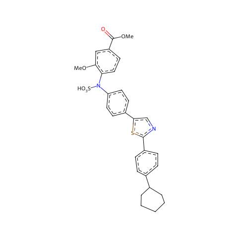 COC(=O)c1ccc(N(c2ccc(-c3cnc(-c4ccc(C5CCCCC5)cc4)s3)cc2)S(=O)(=O)O)c(OC)c1